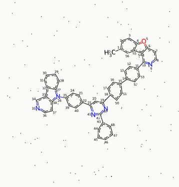 Cc1ccc2oc3ccnc(-c4ccc(-c5ccc(-c6cc(-c7ccc(-n8c9ccccc9c9cnccc98)cc7)nc(-c7ccccc7)n6)cc5)cc4)c3c2c1